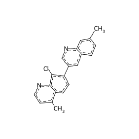 Cc1ccc2cc(-c3ccc4c(C)ccnc4c3Cl)cnc2c1